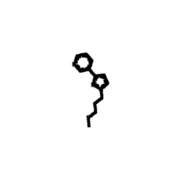 CSCCCn1ccc(-c2cccnc2)n1